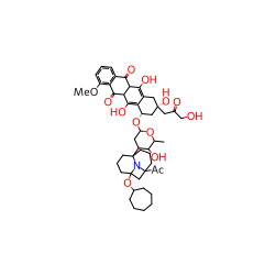 COc1cccc2c1C(=O)C1C(O)=C3C(=C(O)C1C2=O)C[C@@](O)(CC(=O)CO)C[C@@H]3OC1CC(C23CCCC4(OC5CCCCCC5)CC(C(C)=O)(CCC2)N43)C(O)C(C)O1